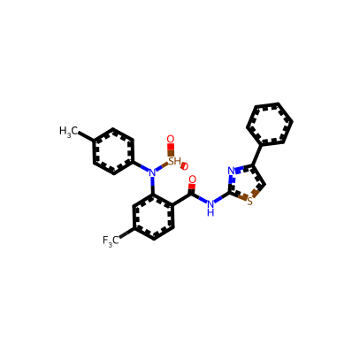 Cc1ccc(N(c2cc(C(F)(F)F)ccc2C(=O)Nc2nc(-c3ccccc3)cs2)[SH](=O)=O)cc1